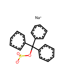 O=S([O-])OC(c1ccccc1)(c1ccccc1)c1ccccc1.[Na+]